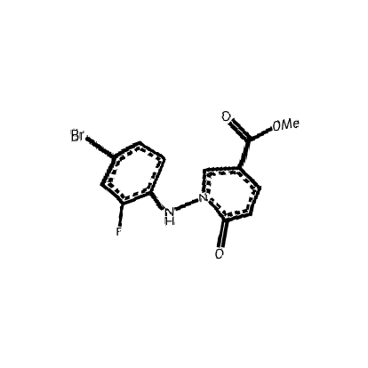 COC(=O)c1ccc(=O)n(Nc2ccc(Br)cc2F)c1